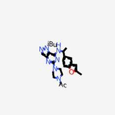 CCC(C)n1ncc2nc(N3CCN(C(C)=O)CC3)nc(NC(C)c3ccc4oc(C)cc4c3)c21